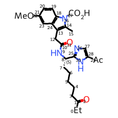 CCC(=O)CCCCC[C@H](NC(=O)Cc1c(C)n(C(=O)O)c2ccc(OC)cc12)c1ncc(C(C)=O)[nH]1